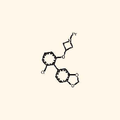 CC(C)N1CC(Oc2[c]ccc(Cl)c2-c2ccc3c(c2)OCO3)C1